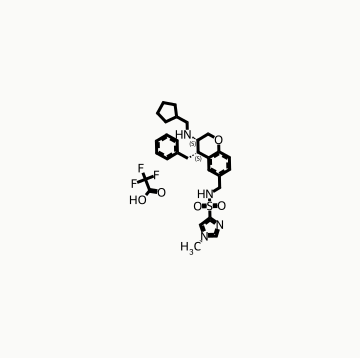 Cn1cnc(S(=O)(=O)NCc2ccc3c(c2)[C@H](Cc2ccccc2)[C@H](NCC2CCCC2)CO3)c1.O=C(O)C(F)(F)F